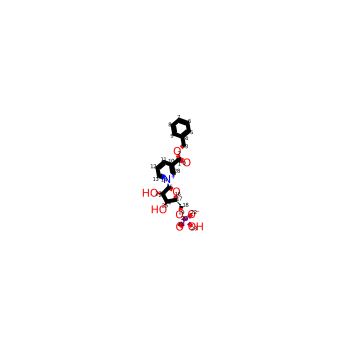 O=C(OCc1ccccc1)c1ccc[n+]([C@@H]2O[C@H](COP(=O)([O-])O)[C@@H](O)[C@H]2O)c1